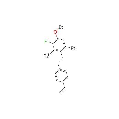 C=Cc1ccc(CCc2c(CC)cc(OCC)c(F)c2C(F)(F)F)cc1